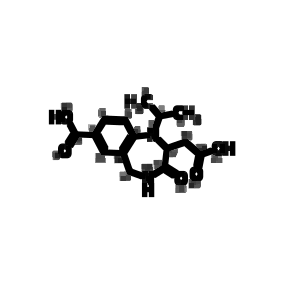 CC(C)N1c2ccc(C(=O)O)cc2CNC(=O)C1CC(=O)O